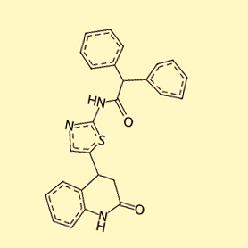 O=C1CC(c2cnc(NC(=O)C(c3ccccc3)c3ccccc3)s2)c2ccccc2N1